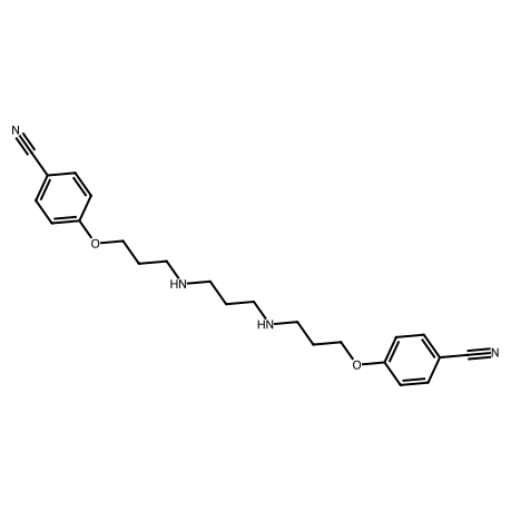 N#Cc1ccc(OCCCNCCCNCCCOc2ccc(C#N)cc2)cc1